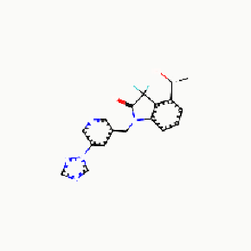 C[C@H](O)c1cccc2c1C(F)(F)C(=O)N2Cc1cncc(-n2cncn2)c1